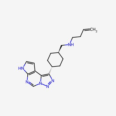 C=CCCNC[C@H]1CC[C@H](c2nnn3cnc4[nH]ccc4c23)CC1